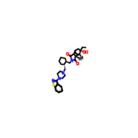 CC[C@@]1(O)CC2=C3C(=O)N(C[C@@H]4CCCC[C@H]4CN4CCN(c5nsc6ccccc56)CC4)C(=O)[C@H]3[C@@H]1C2